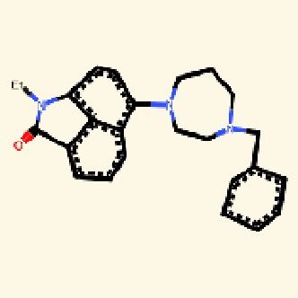 CCN1C(=O)c2cccc3c(N4CCCN(Cc5ccccc5)CC4)ccc1c23